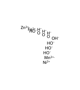 [Fe+2].[Mn+2].[Ni+2].[OH-].[OH-].[OH-].[OH-].[OH-].[OH-].[OH-].[OH-].[Zn+2]